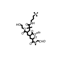 CCCOC(=O)C(CC(CC(C)(C)C(=O)NCCC[N+](C)(C)C)C(=O)OCCO)CC(CC)C(=O)N(C)CC=O